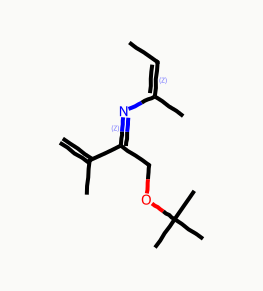 C=C(C)/C(COC(C)(C)C)=N/C(C)=C\C